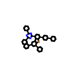 c1ccc(-c2ccc(-c3ccc(-c4nc(-c5ccccc5)nc(-c5ccccc5)n4)c4c3sc3c(-c5ccccc5)cc(-c5ccccc5)cc34)cc2)cc1